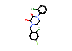 O=C1C(=O)N(c2ccccc2Cl)CCN1Cc1ccc(F)cc1Cl